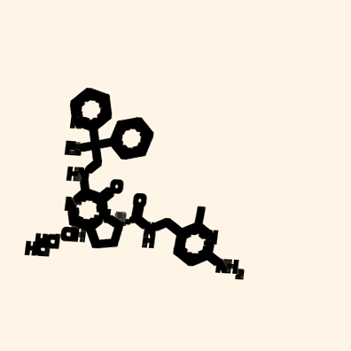 CCC(CNc1ncc2n(c1=O)[C@H](C(=O)NCc1ccc(N)nc1C)CC2)(c1ccccc1)c1ccccn1.Cl.Cl.Cl